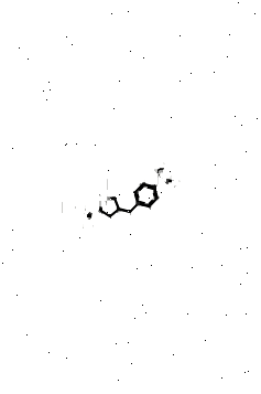 O=C(O)[C@@H]1CC(Cc2ccc([N+](=O)[O-])cc2)CN1